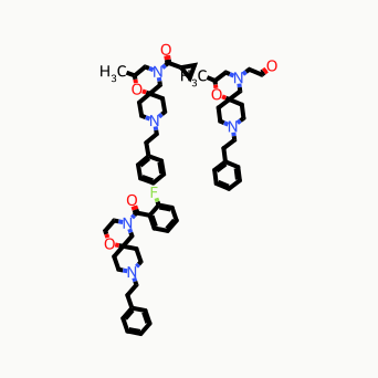 CC1CN(C(=O)C2CC2)CC2(CCN(CCc3ccccc3)CC2)O1.CC1CN(CC=O)CC2(CCN(CCc3ccccc3)CC2)O1.O=C(c1ccccc1F)N1CCOC2(CCN(CCc3ccccc3)CC2)C1